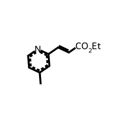 CCOC(=O)/C=C/c1cc(C)ccn1